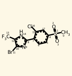 CS(=O)(=O)c1ccc(-c2nc(Br)c(C(F)(F)F)[nH]2)c(Cl)c1